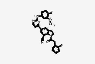 COc1cc(Nc2nccc(-c3cc(C#N)c4c(c3)CCN4C(=O)Cc3ccccc3F)n2)ccc1F